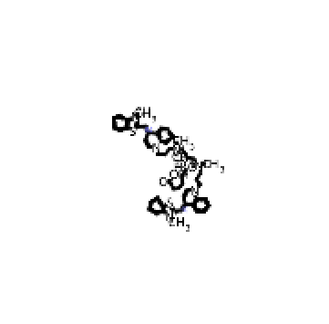 C[n+]1c(/C=C2\C=CN(CCC[N+](C)(C)CC(C[N+](C)(C)CCCN3C=C/C(=C\c4sc5ccccc5[n+]4C)c4ccccc43)OCCCCCC(=O)O)c3ccccc32)sc2ccccc21